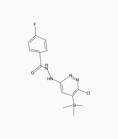 C[Si](C)(C)c1cc(NNC(=O)c2ccc(F)cc2)nnc1Cl